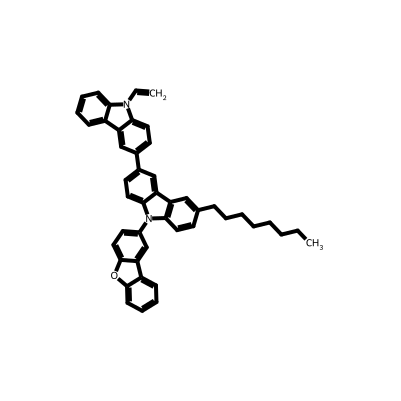 C=Cn1c2ccccc2c2cc(-c3ccc4c(c3)c3cc(CCCCCCCC)ccc3n4-c3ccc4oc5ccccc5c4c3)ccc21